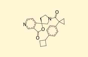 O=C1O[C@]2(CCN(C(=O)C3(c4ccc(C5CCC5)cc4)CC3)C2)c2ccncc21